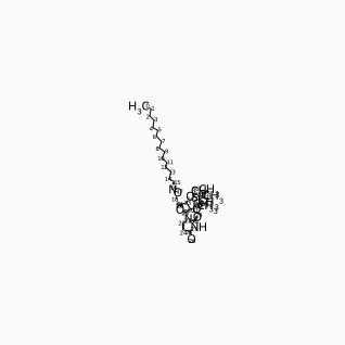 CCCCCCCCCCCCCCCC=NOC[C@H]1O[C@@H](n2ccc(=O)[nH]c2=O)C(OC)C1O[Si](C)(C)C(C)(C)C